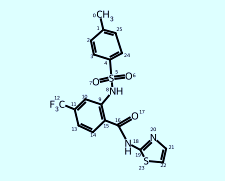 Cc1ccc(S(=O)(=O)Nc2cc(C(F)(F)F)ccc2C(=O)Nc2nccs2)cc1